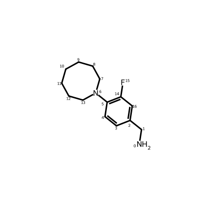 NCc1ccc(N2CCCCCCC2)c(F)c1